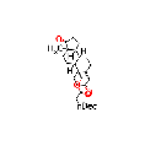 CCCCCCCCCCCC(=O)OC[C@]12CCC(=O)C=C1CC[C@@H]1[C@H]2CC[C@]2(C)C(=O)CC[C@@H]12